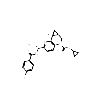 C[C@H](NC(=O)c1ccc(F)cc1)c1ccc2c(n1)[C@H]1C[C@H]1CN2C(=O)OC1CC1